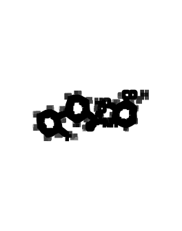 O=C(O)c1cccc(NS(=O)(=O)c2cccc(-c3ccccc3F)c2)c1O